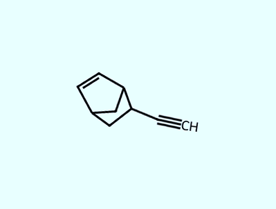 C#CC1CC2C=CC1C2